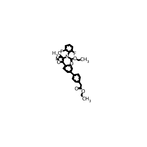 CCOC(=O)Cc1ccc(-c2ccc(-c3onc(C)c3N(C(=O)OCC)c3c(F)cccc3F)cc2)cc1